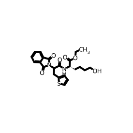 CCOC(=O)[C@H](CCCCO)NC(=O)C(Cc1cccs1)N1C(=O)c2ccccc2C1=O